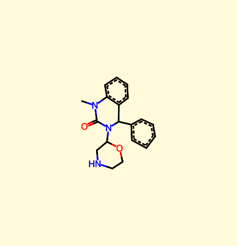 CN1C(=O)N(C2CNCCO2)C(c2ccccc2)c2ccccc21